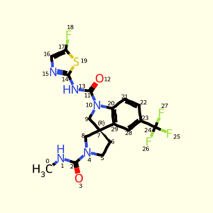 CNC(=O)N1CC[C@@]2(C1)CN(C(=O)Nc1ncc(F)s1)c1ccc(C(F)(F)F)cc12